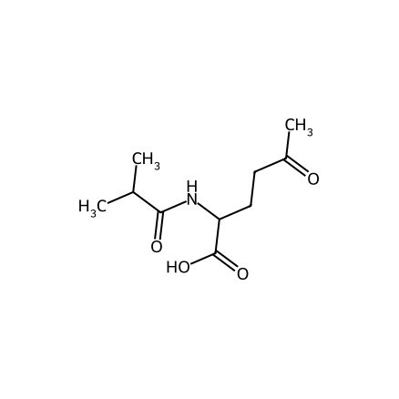 CC(=O)CCC(NC(=O)C(C)C)C(=O)O